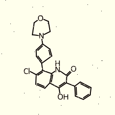 O=c1[nH]c2c(-c3ccc(N4CCOCC4)cc3)c(Cl)ccc2c(O)c1-c1ccccc1